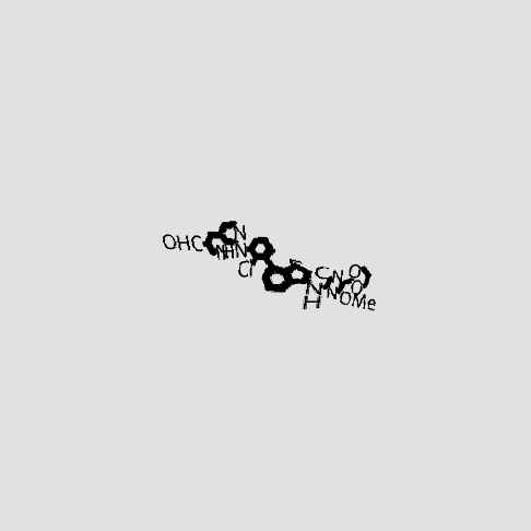 COc1nc(NC2CCc3c(-c4cccc(Nc5nccc6cc(C=O)cnc56)c4Cl)cccc32)c(C(F)(F)F)nc1C1OCCCO1